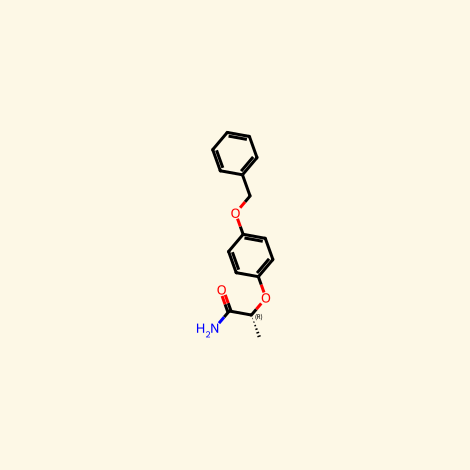 C[C@@H](Oc1ccc(OCc2ccccc2)cc1)C(N)=O